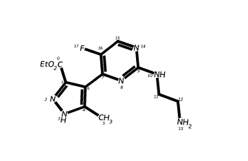 CCOC(=O)c1n[nH]c(C)c1-c1nc(NCCN)ncc1F